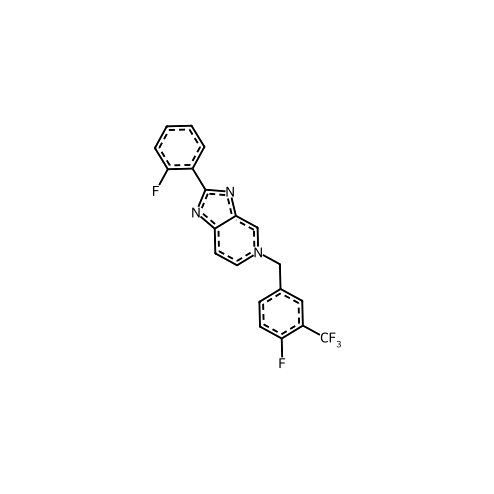 Fc1ccccc1-c1nc2ccn(Cc3ccc(F)c(C(F)(F)F)c3)cc-2n1